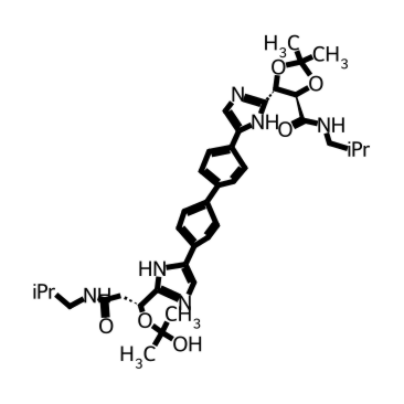 CC(C)CNC(=O)C[C@@H](OC(C)(C)O)c1ncc(-c2ccc(-c3ccc(-c4cnc([C@@H]5OC(C)(C)O[C@H]5C(=O)NCC(C)C)[nH]4)cc3)cc2)[nH]1